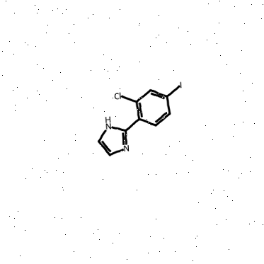 Clc1cc(I)ccc1-c1ncc[nH]1